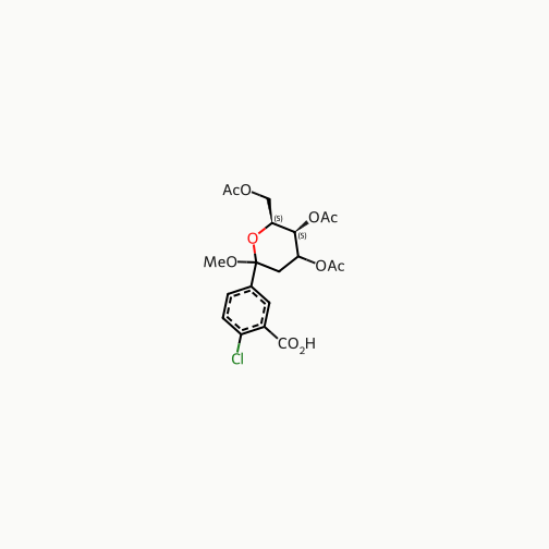 COC1(c2ccc(Cl)c(C(=O)O)c2)CC(OC(C)=O)[C@H](OC(C)=O)[C@H](COC(C)=O)O1